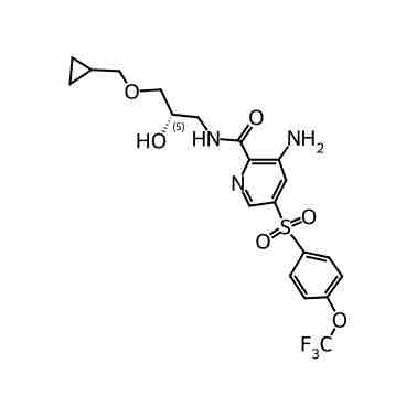 Nc1cc(S(=O)(=O)c2ccc(OC(F)(F)F)cc2)cnc1C(=O)NC[C@H](O)COCC1CC1